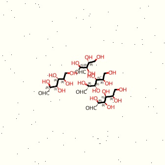 O=C[C@@H](O)[C@H](O)[C@H](O)CO.O=C[C@H](O)[C@@H](O)[C@@H](O)[C@H](O)CO.O=C[C@H](O)[C@@H](O)[C@H](O)[C@H](O)CO.O=C[C@H](O)[C@H](O)[C@@H](O)[C@H](O)CO